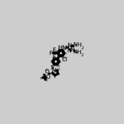 CC(C)(C)OC(=O)[C@@H]1CCCN1Sc1ccc(-c2c(Cl)cc(Nc3nc(N)n(N)n3)cc2C(F)(F)F)cc1